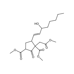 CCCCCC(O)/C=C/C1CC(C(=O)OC)C(=O)C1(CC(=O)OC)C(=O)OC